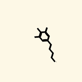 [CH2]CCCCc1cc(C)c(C)c(C)c1